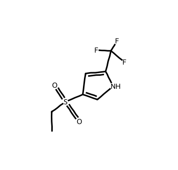 CCS(=O)(=O)c1c[nH]c(C(F)(F)F)c1